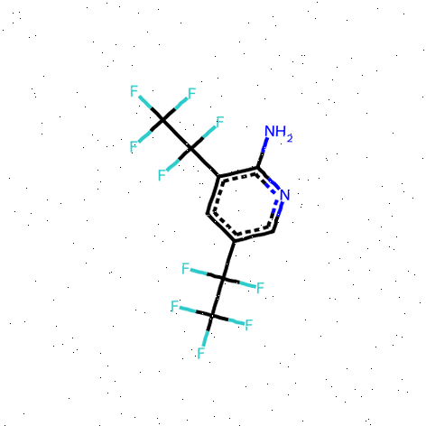 Nc1ncc(C(F)(F)C(F)(F)F)cc1C(F)(F)C(F)(F)F